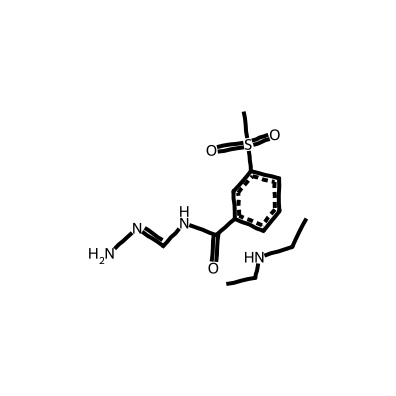 CCNCC.CS(=O)(=O)c1cccc(C(=O)NC=NN)c1